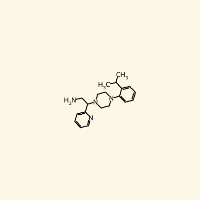 CC(C)c1ccccc1N1CCN(C(CN)c2ccccn2)CC1